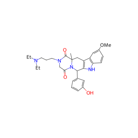 CCN(CC)CCCN1CC(=O)N2C(c3cccc(O)c3)c3[nH]c4ccc(OC)cc4c3CC2(C)C1=O